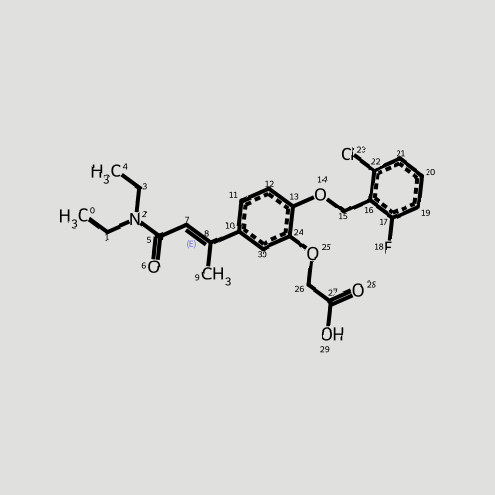 CCN(CC)C(=O)/C=C(\C)c1ccc(OCc2c(F)cccc2Cl)c(OCC(=O)O)c1